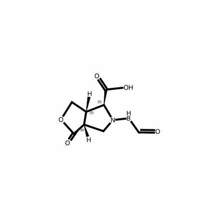 O=CBN1C[C@@H]2C(=O)OC[C@@H]2[C@H]1C(=O)O